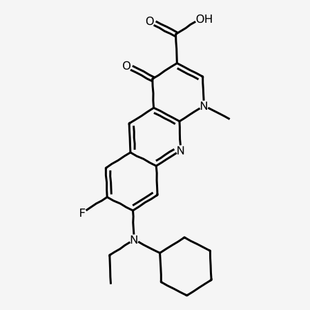 CCN(c1cc2nc3c(cc2cc1F)c(=O)c(C(=O)O)cn3C)C1CCCCC1